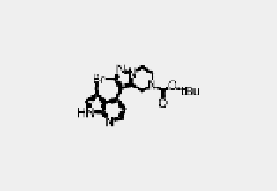 Cc1c[nH]c2nccc(-c3c(Br)nn4c3CN(C(=O)OC(C)(C)C)CC4)c12